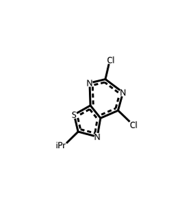 CC(C)c1nc2c(Cl)nc(Cl)nc2s1